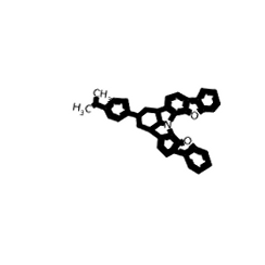 CC(C)c1ccc(C2CC3c4ccc5c(oc6ccccc65)c4N4c5c(ccc6c5oc5ccccc56)C(C2)C34)cc1